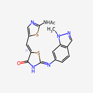 CC(=O)Nc1ncc(/C=C2\SC(=Nc3ccc4cnn(C)c4c3)NC2=O)s1